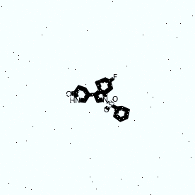 O=c1ccc(-c2cn(S(=O)(=O)c3ccccc3)c3cc(F)ccc23)c[nH]1